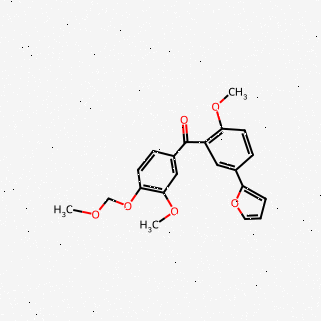 COCOc1ccc(C(=O)c2cc(-c3ccco3)ccc2OC)cc1OC